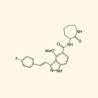 COc1c(C(=O)NC2CCCCNC2=O)ccc2[nH]nc(/C=C/c3ccc(F)cc3)c12